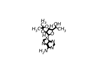 C[C@H](O)[C@H]1O[C@@H](n2cnc3c(N)ncnc32)[C@@H]2OC(C)(C)O[C@@H]21